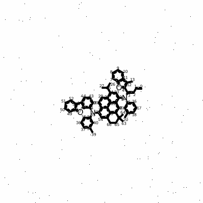 C=C/C=C(\c1oc2ccccc2c1C)N(c1cccc(C)c1)c1cc(C(C)C)c2ccc3c(N(c4cccc(C)c4)c4cccc5c4oc4ccccc45)cc4c5c(cc1c2c35)C(C)(C)CC4